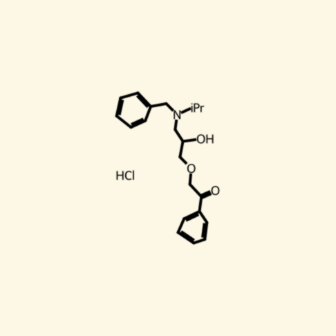 CC(C)N(Cc1ccccc1)CC(O)COCC(=O)c1ccccc1.Cl